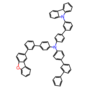 c1ccc(-c2cccc(-c3ccc(N(c4ccc(-c5cccc(-c6ccc7oc8ccccc8c7c6)c5)cc4)c4ccc(-c5cccc(-n6c7ccccc7c7ccccc76)c5)cc4)cc3)c2)cc1